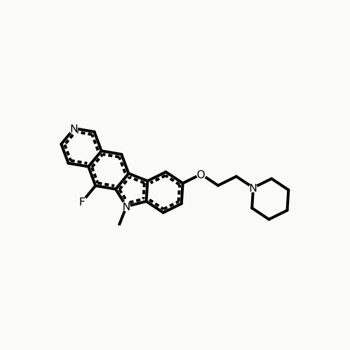 Cn1c2ccc(OCCN3CCCCC3)cc2c2cc3cnccc3c(F)c21